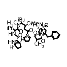 CCC(C)C(C(CC(=O)N1CCC[C@H]1C(OC)C(C)C(=O)NC(Cc1ccccc1)CS(N)(=O)=O)OC)N(C)C(=O)C(NC(=O)[C@H]1N[C@@H]2CC[C@H]1C2)C(C)C